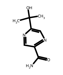 CC(C)(O)c1cnc(C(N)=O)cn1